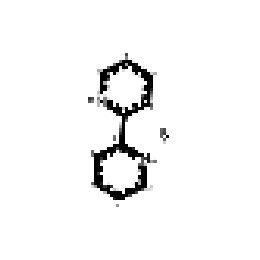 [K].c1ccc(-c2ccccn2)nc1